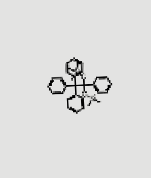 C[Si](C)(C)OC(O[Si](C)(C)C)(c1ccccc1)C(c1ccccc1)(c1ccccc1)c1ccccc1